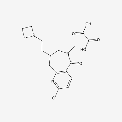 CN1CC(CCN2CCC2)Cc2nc(Cl)ccc2C1=O.O=C(O)C(=O)O